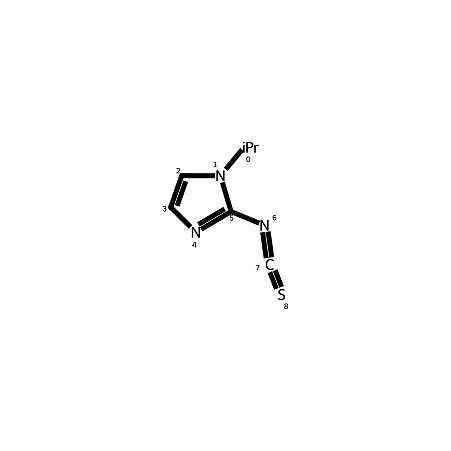 CC(C)n1ccnc1N=C=S